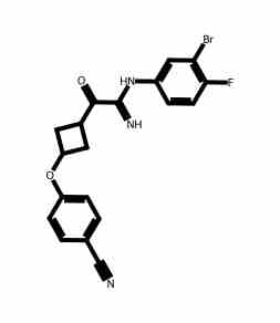 N#Cc1ccc(OC2CC(C(=O)C(=N)Nc3ccc(F)c(Br)c3)C2)cc1